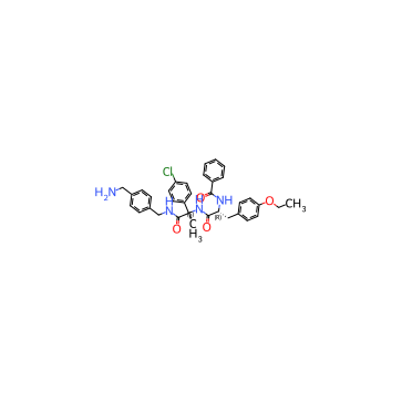 CCOc1ccc(C[C@@H](NC(=O)c2ccccc2)C(=O)N[C@](C)(C(=O)NCc2ccc(CN)cc2)c2ccc(Cl)cc2)cc1